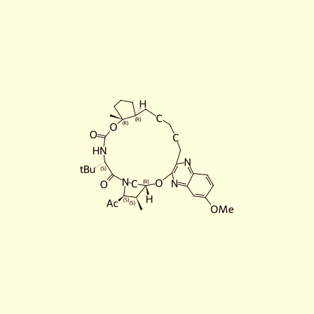 COc1ccc2nc3c(nc2c1)O[C@H]1CN(C(=O)[C@H](C(C)(C)C)NC(=O)O[C@]2(C)CCC[C@H]2CCCCC3)[C@H](C(C)=O)[C@@H]1C